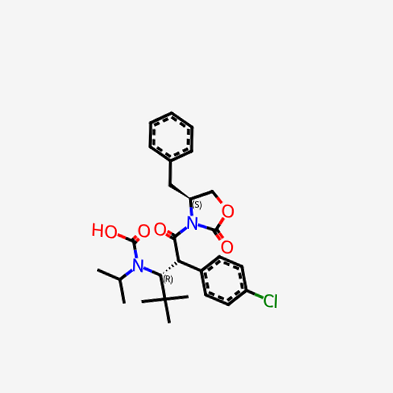 CC(C)N(C(=O)O)[C@H](C(C(=O)N1C(=O)OC[C@@H]1Cc1ccccc1)c1ccc(Cl)cc1)C(C)(C)C